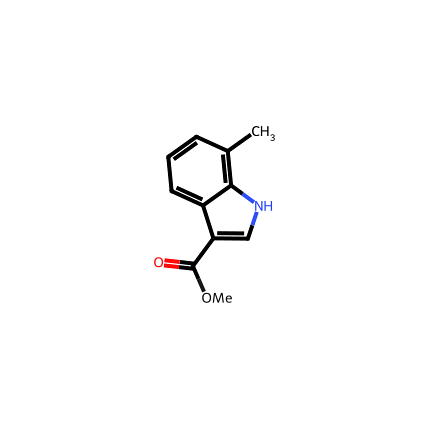 COC(=O)c1c[nH]c2c(C)cccc12